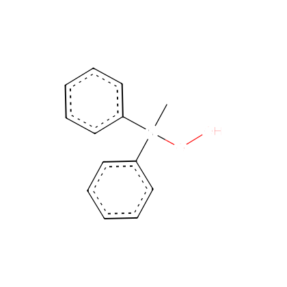 C[Si](OO)(c1ccccc1)c1ccccc1